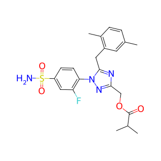 Cc1ccc(C)c(Cc2nc(COC(=O)C(C)C)nn2-c2ccc(S(N)(=O)=O)cc2F)c1